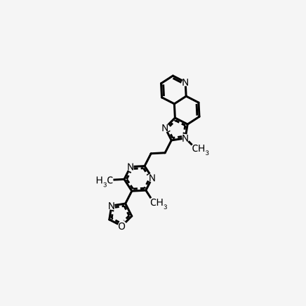 Cc1nc(CCc2nc3c(n2C)C=CC2N=CC=CC32)nc(C)c1-c1cocn1